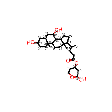 CC(CCC(=O)OC1CCOC(O)C1)C1CCC2C3C(O)CC4CC(O)CCC4(C)C3CCC12C